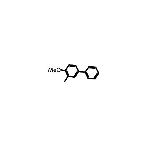 COc1ccc(-c2ccccc2)cc1C